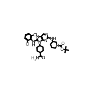 CC(C)(C)OC(=O)N1CCCC(Nc2ncc3nc(Nc4c(Cl)cccc4Cl)n(C4CCC(C(N)=O)CC4)c3n2)C1